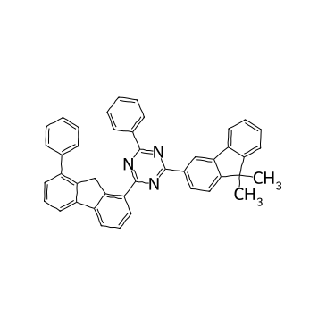 CC1(C)c2ccccc2-c2cc(-c3nc(-c4ccccc4)nc(-c4cccc5c4Cc4c(-c6ccccc6)cccc4-5)n3)ccc21